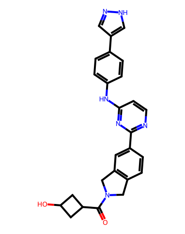 O=C(C1CC(O)C1)N1Cc2ccc(-c3nccc(Nc4ccc(-c5cn[nH]c5)cc4)n3)cc2C1